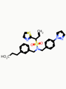 C=CC(c1nccs1)S(=O)(=O)N(Cc1ccc(-n2cccn2)cc1)Cc1cccc(CCC(=O)O)c1